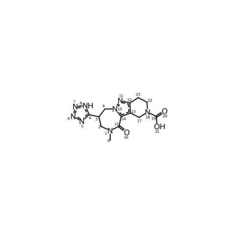 CN1CC(c2nnn[nH]2)Cn2nc3c(c2C1=O)CN(C(=O)O)CC3